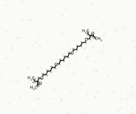 CCC1(COCCCCCCOCCCCCCOCCCCCCOCC2(CC)OC2C)OC1C